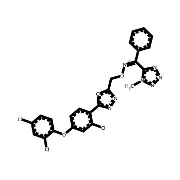 Cn1nnnc1/C(=N\OCc1nnc(-c2ccc(Oc3ccc(Cl)cc3Cl)cc2Cl)o1)c1ccccc1